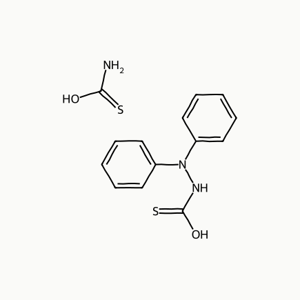 NC(O)=S.OC(=S)NN(c1ccccc1)c1ccccc1